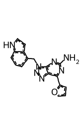 Nc1nc(-c2ccco2)c2nnn(Cc3cccc4[nH]ccc34)c2n1